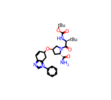 CC(C)(C)OC(=O)N[C@H](C(=O)N1C[C@H](OC2C=Cc3ncn(-c4ccccc4)c3C2)C[C@H]1C(N)=O)C(C)(C)C